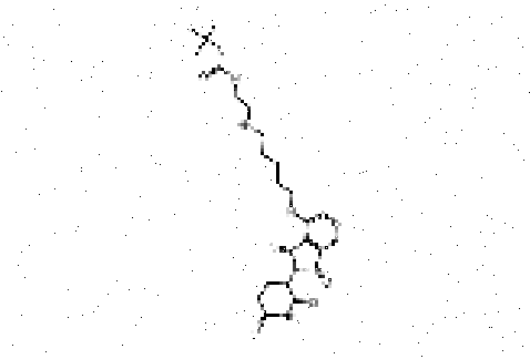 CC(C)(C)OC(=O)NCCNCCCCCNc1cccc2c1C(=O)N(C1CCC(=O)NC1=O)C2=O